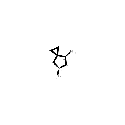 CCCN1C[C@H](N)C2(CC2)C1